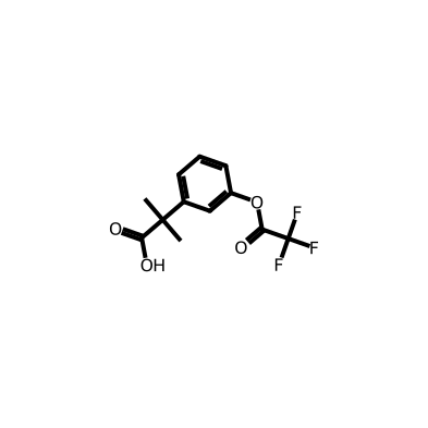 CC(C)(C(=O)O)c1cccc(OC(=O)C(F)(F)F)c1